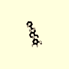 CCC1c2cnc(-c3ccccn3)nc2CCN1c1cc(F)c(F)c(OC)c1